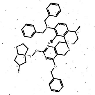 C[C@H]1CC[C@]2(Cc3nc(OC[C@@]45CCCN4C[C@H](F)C5)nc(OCc4ccccc4)c3CO2)c2c1ccc(N(Cc1ccccc1)Cc1ccccc1)c2C#N